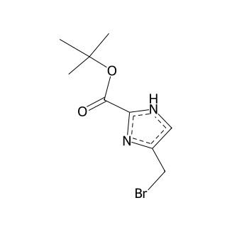 CC(C)(C)OC(=O)c1nc(CBr)c[nH]1